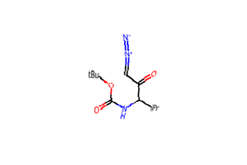 CC(C)C(NC(=O)OC(C)(C)C)C(=O)C=[N+]=[N-]